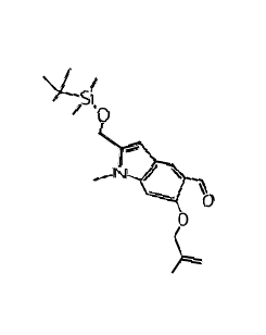 C=C(C)COc1cc2c(cc1C=O)cc(CO[Si](C)(C)C(C)(C)C)n2C